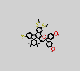 CCSc1cc2c3c(c4c(c2cc1SCC)-c1ccc(SC)cc1C41CC(C)(C)CC(C)(C)C1)C=CC(c1ccc(OC)cc1)(c1ccc(OC)cc1)O3